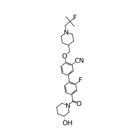 CC(C)(F)CN1CCC(COc2ccc(-c3ccc(C(=O)N4CCC[C@@H](O)C4)cc3F)cc2C#N)CC1